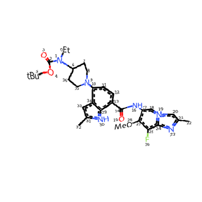 CCN(C(=O)OC(C)(C)C)C1CCN(c2ccc(C(=O)Nc3cn4cc(C)nc4c(F)c3OC)c3[nH]c(C)cc23)CC1